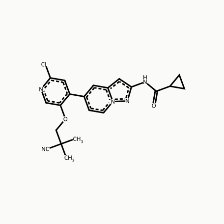 CC(C)(C#N)COc1cnc(Cl)cc1-c1ccn2nc(NC(=O)C3CC3)cc2c1